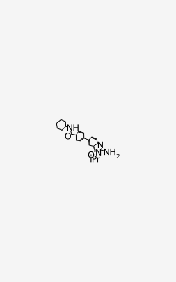 CC(C)Oc1nc(N)nc2ccc(-c3ccc(C(=O)NC4CCCCC4)cc3)cc12